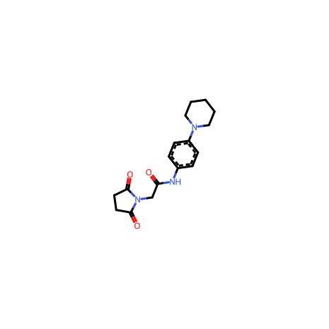 O=C(CN1C(=O)CCC1=O)Nc1ccc(N2CCCCC2)cc1